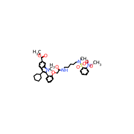 COC(=O)c1ccc2c(C3CCCCC3)c(-c3ccccc3OCC(=O)NCCCCCN(C)S(=O)(=O)c3ccccc3[N+](=O)OC)n(C)c2c1